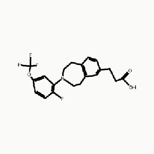 O=C(O)CCc1ccc2c(c1)CCN(c1cc(OC(F)(F)F)ccc1F)CC2